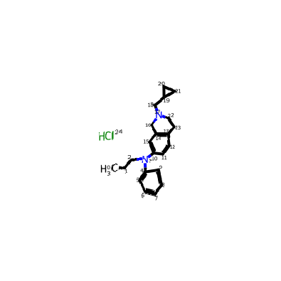 CCCN(c1ccccc1)c1ccc2c(c1)CN(CC1CC1)CC2.Cl